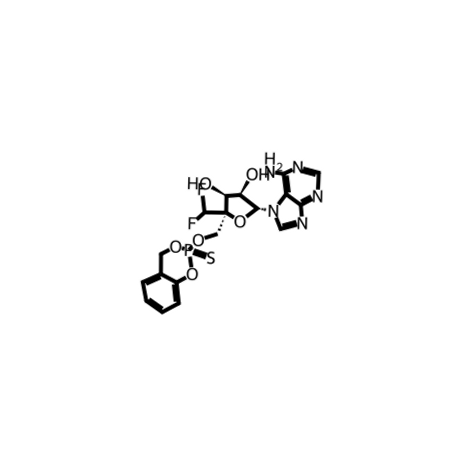 Nc1ncnc2ncn([C@@H]3O[C@@](COP4(=S)OCc5ccccc5O4)(C(F)F)[C@@H](O)[C@H]3O)c12